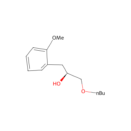 CCCCOC[C@@H](O)Cc1ccccc1OC